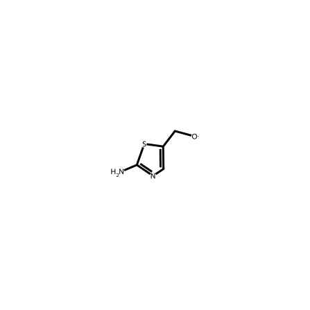 Nc1ncc(C[O])s1